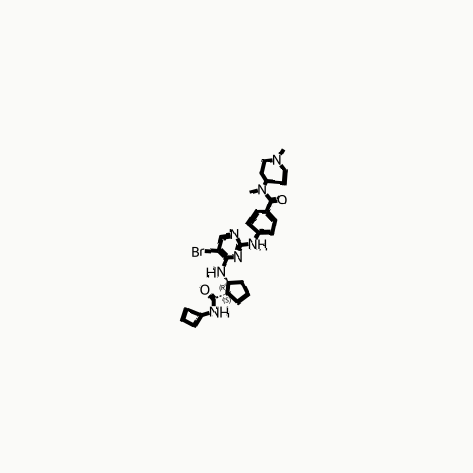 CN1CCC(N(C)C(=O)c2ccc(Nc3ncc(Br)c(N[C@@H]4CCC[C@@H]4C(=O)NC4CCC4)n3)cc2)CC1